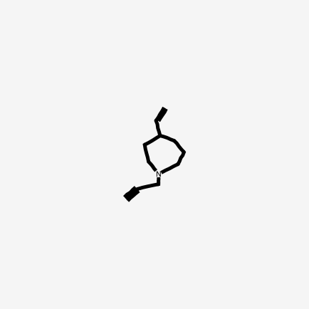 C#CCN1CCCC(C=C)CC1